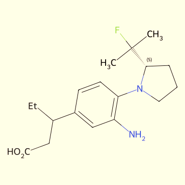 CCC(CC(=O)O)c1ccc(N2CCC[C@H]2C(C)(C)F)c(N)c1